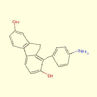 Nc1ccc(-c2c(O)ccc3c2Cc2cc(O)ccc2-3)cc1